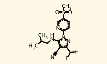 CC(C)CNc1c(C#N)c(C(F)F)nn1-c1ccc(S(C)(=O)=O)cn1